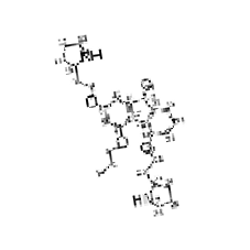 CCCOc1cc(OCCC2CCCN2)cc2c1-c1c(OCCC3CCCN3)cccc1C2=O